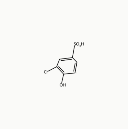 O=S(=O)(O)c1c[c]c(O)c(Cl)c1